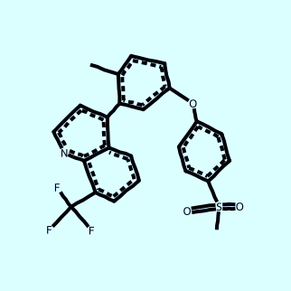 Cc1ccc(Oc2ccc(S(C)(=O)=O)cc2)cc1-c1ccnc2c(C(F)(F)F)cccc12